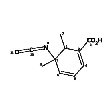 CC1C(C(=O)O)=CC=CC1(C)N=C=O